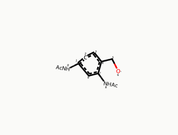 CC(=O)Nc1ccc(C[O])c(NC(C)=O)c1